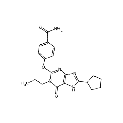 CCCn1c(Oc2ccc(C(N)=O)cc2)nc2nc(C3CCCC3)[nH]c2c1=O